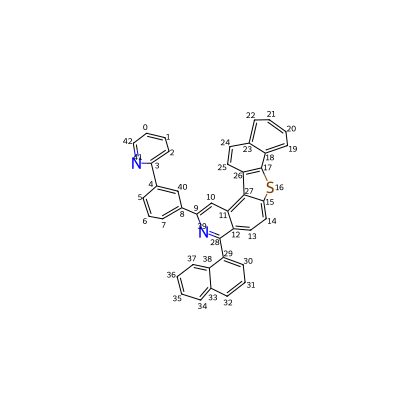 c1ccc(-c2cccc(-c3cc4c(ccc5sc6c7ccccc7ccc6c54)c(-c4cccc5ccccc45)n3)c2)nc1